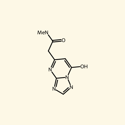 CNC(=O)Cc1cc(O)n2ncnc2n1